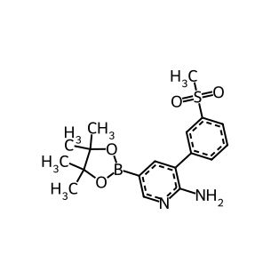 CC1(C)OB(c2cnc(N)c(-c3cccc(S(C)(=O)=O)c3)c2)OC1(C)C